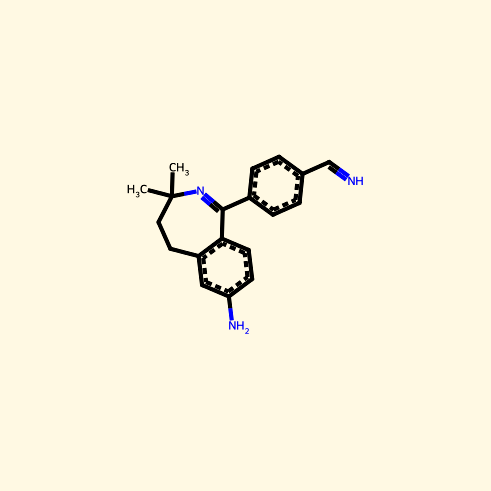 CC1(C)CCc2cc(N)ccc2C(c2ccc(C=N)cc2)=N1